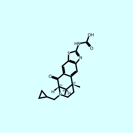 C[C@H]1[C@H]2C(=O)c3cc4sc(NC(=O)O)nc4cc3[C@]1(C)CCN2CC1CC1